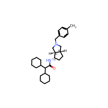 Cc1ccc(CN2C[C@@H]3CC[C@H](NC(=O)C(C4CCCCC4)C4CCCCC4)[C@@H]3C2)cc1